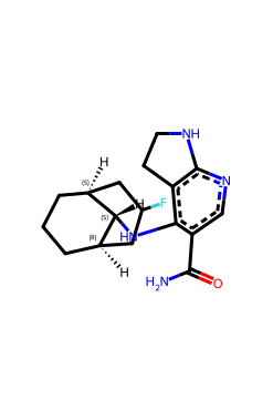 NC(=O)c1cnc2c(c1N[C@@H]1[C@@H]3CCC[C@H]1CC(F)C3)CCN2